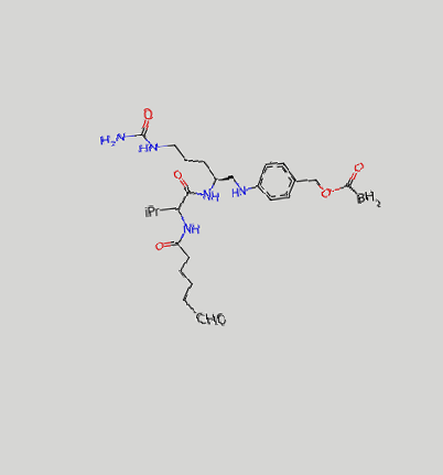 BC(=O)OCc1ccc(NC[C@H](CCCNC(N)=O)NC(=O)C(NC(=O)CCCCC=O)C(C)C)cc1